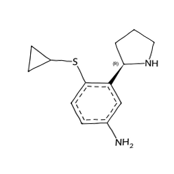 Nc1ccc(SC2CC2)c([C@H]2CCCN2)c1